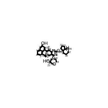 C#Cc1cccc2cc(O)cc(-c3ncc4c(N5CCOC[C@@](C)(O)C5)nc(OC[C@]56CCC[C@H]5N(C)CCC6)nc4c3F)c12